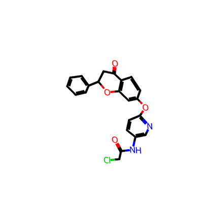 O=C(CCl)Nc1ccc(Oc2ccc3c(c2)OC(c2ccccc2)CC3=O)nc1